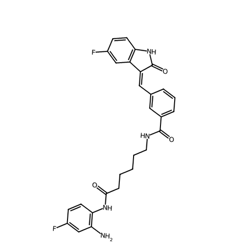 Nc1cc(F)ccc1NC(=O)CCCCCNC(=O)c1cccc(/C=C2\C(=O)Nc3ccc(F)cc32)c1